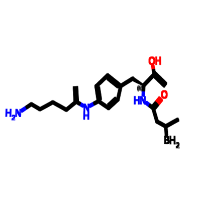 BC(C)CC(=O)N[C@@H](Cc1ccc(NC(=C)CCCCN)cc1)C(=C)O